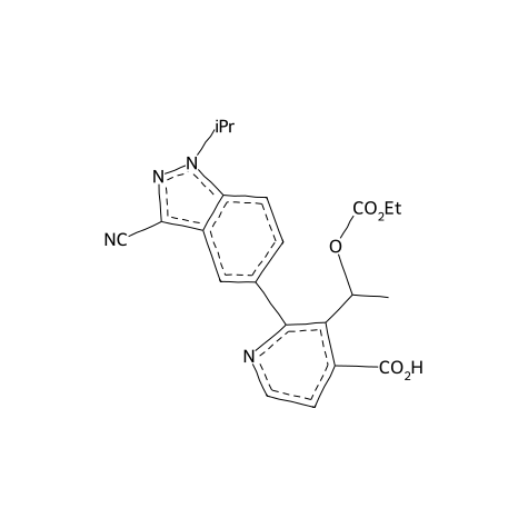 CCOC(=O)OC(C)c1c(C(=O)O)ccnc1-c1ccc2c(c1)c(C#N)nn2C(C)C